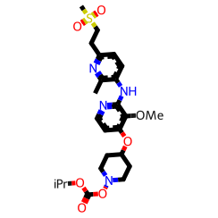 COc1c(OC2CCN(OC(=O)OC(C)C)CC2)ccnc1Nc1ccc(CCS(C)(=O)=O)nc1C